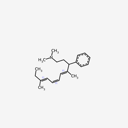 CC/C(C)=C/C=C\C=C(/C)C(CCN(C)C)c1ccccc1